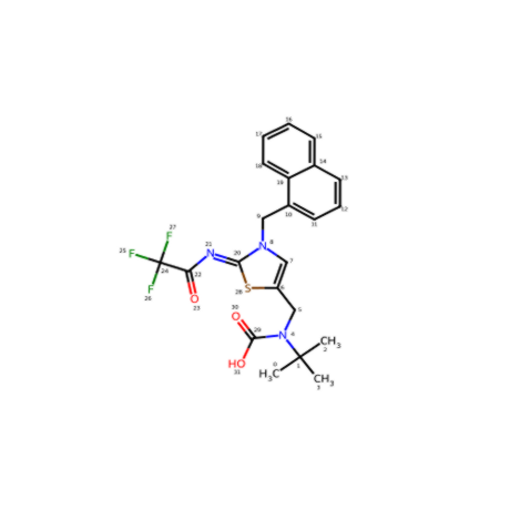 CC(C)(C)N(Cc1cn(Cc2cccc3ccccc23)c(=NC(=O)C(F)(F)F)s1)C(=O)O